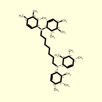 C[C@H]1[C@H](C)[C@@H](N(CCCCCCCN([C@H]2C=C[C@@H](C)[C@@H](C)[C@@H]2C)[C@H]2C=C[C@@H](C)[C@@H](C)[C@@H]2C)[C@H]2C=C[C@@H](C)[C@@H](C)[C@@H]2C)C=C[C@H]1C